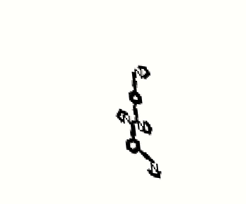 C(#Cc1ccc(C#CC(C(C#Cc2cccc(C#CCN3CCCC3)c2)N2CCCC2)N2CCCC2)cc1)CN1CCCC1